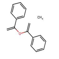 C.C=C(OC(=C)c1ccccc1)c1ccccc1